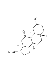 CO[C@@H]1CC[C@@H]2CC[C@H]3C4CC[C@H](C#N)[C@@]4(C)CC(=O)C3[C@@]2(C)C1